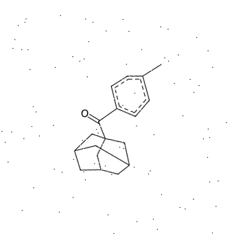 Cc1ccc(C(=O)C23CC4CC(CC(C4)C2)C3)cc1